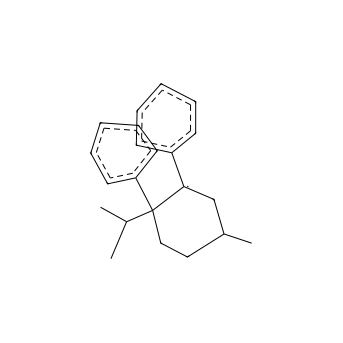 CC1CCC(c2ccccc2)(C(C)C)[C](c2ccccc2)C1